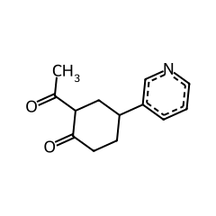 CC(=O)C1CC(c2cccnc2)CCC1=O